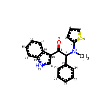 CN(c1cccs1)C(C(=O)c1c[nH]c2ccccc12)c1ccccc1